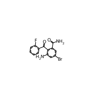 NC(=O)c1cc(Br)cc(N)c1C(=O)c1ccccc1F